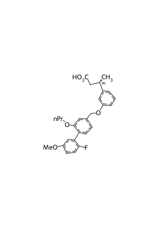 CCCOc1cc(COc2cccc([C@H](C)CC(=O)O)c2)ccc1-c1cc(OC)ccc1F